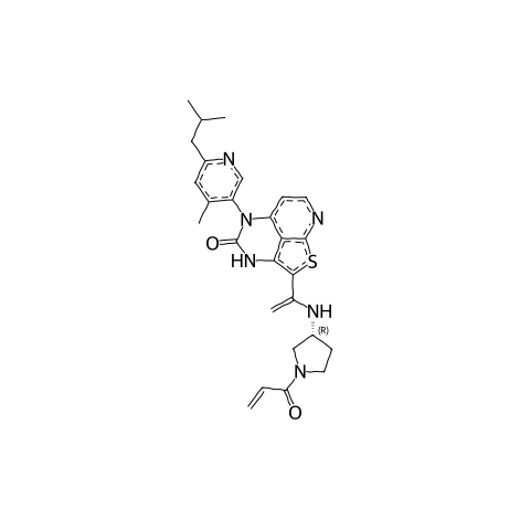 C=CC(=O)N1CC[C@@H](NC(=C)c2sc3nccc4c3c2NC(=O)N4c2cnc(CC(C)C)cc2C)C1